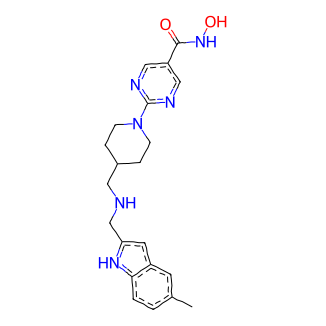 Cc1ccc2[nH]c(CNCC3CCN(c4ncc(C(=O)NO)cn4)CC3)cc2c1